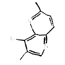 Cc1ccc2ncc(Cl)c(Br)c2n1